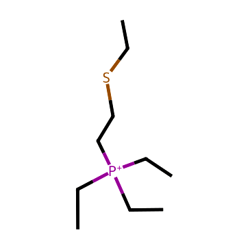 CCSCC[P+](CC)(CC)CC